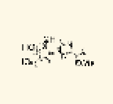 COC(=O)c1ncn([C@@H]2C=C(CO)[C@@H](O)[C@H]2O)n1